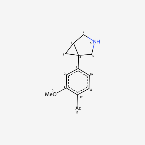 COc1cc(C23CNCC2C3)ccc1C(C)=O